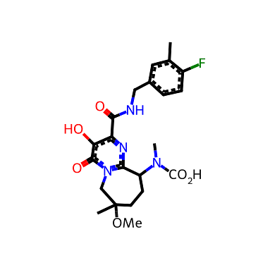 COC1(C)CCC(N(C)C(=O)O)c2nc(C(=O)NCc3ccc(F)c(C)c3)c(O)c(=O)n2C1